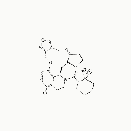 Cc1conc1COc1ccc(Cl)c2c1[C@@H](CN1CCCC1=O)N(C(=O)C1CCCC[C@@]1(C)C(=O)O)CC2